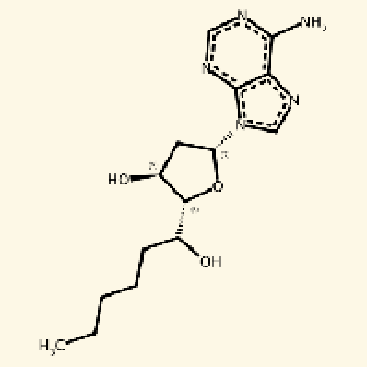 CCCCCC(O)[C@H]1O[C@@H](n2cnc3c(N)ncnc32)C[C@@H]1O